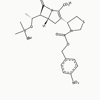 C[C@@H](O[Si](C)(C)C(C)(C)C)[C@H]1C(=O)N2C(C(=O)O)=C([C@@H]3CSCN3C(=O)OCc3ccc([N+](=O)[O-])cc3)C[C@H]12